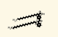 CCCCCCCCCCCCCCCCCC(=O)O.CCCCCCCCCCCCCCCCCC(=O)OC(C(=O)c1ccccc1)c1ccccc1